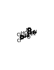 O=C(NCc1cc(Cl)cc(Cl)c1)c1nc(-n2cncn2)c2cccnc2c1O